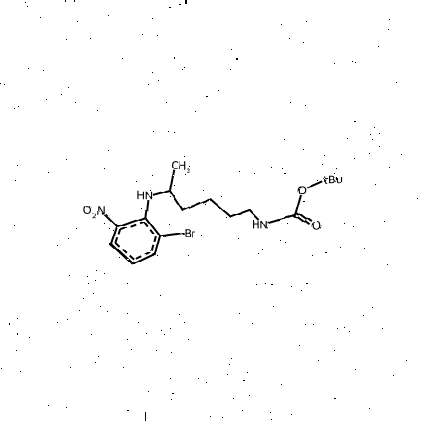 CC(CCCCNC(=O)OC(C)(C)C)Nc1c(Br)cccc1[N+](=O)[O-]